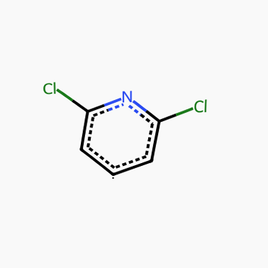 Clc1c[c]cc(Cl)n1